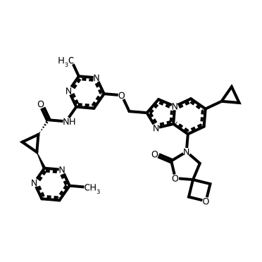 Cc1ccnc([C@H]2C[C@@H]2C(=O)Nc2cc(OCc3cn4cc(C5CC5)cc(N5CC6(COC6)OC5=O)c4n3)nc(C)n2)n1